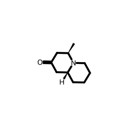 C[C@@H]1CC(=O)C[C@H]2CCCCN21